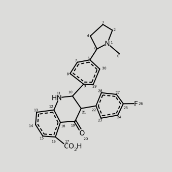 CN1CCCC1c1ccc(C2Nc3cccc(C(=O)O)c3C(=O)C2c2ccc(F)cc2)cc1